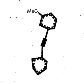 COc1cccc(C#Cc2ccccc2)c1